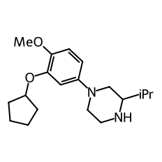 COc1ccc(N2CCNC(C(C)C)C2)cc1OC1CCCC1